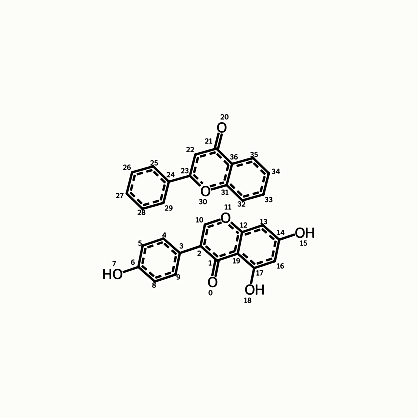 O=c1c(-c2ccc(O)cc2)coc2cc(O)cc(O)c12.O=c1cc(-c2ccccc2)oc2ccccc12